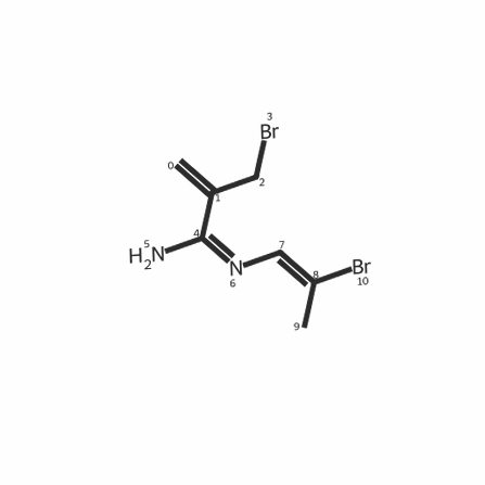 C=C(CBr)/C(N)=N\C=C(/C)Br